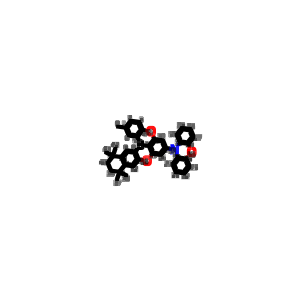 Cc1ccc2c(c1)B1c3cc4c(cc3Oc3cc(N5c6ccccc6Oc6ccccc65)cc(c31)O2)C(C)(C)CCC4(C)C